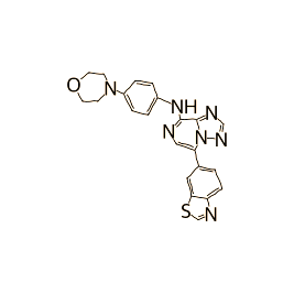 c1nc2c(Nc3ccc(N4CCOCC4)cc3)ncc(-c3ccc4ncsc4c3)n2n1